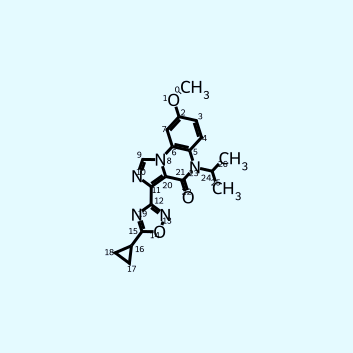 COc1ccc2c(c1)n1cnc(-c3noc(C4CC4)n3)c1c(=O)n2C(C)C